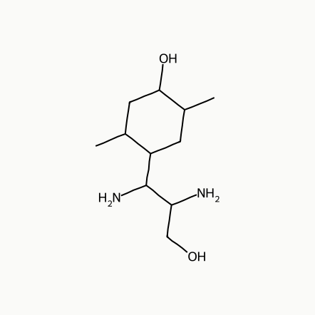 CC1CC(C(N)C(N)CO)C(C)CC1O